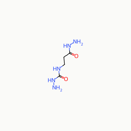 NNC(=O)CCNC(=O)NN